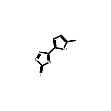 Cc1ccc(C2=NC(=S)N=N2)[nH]1